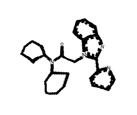 O=C(Cn1c(-c2ccccn2)nc2ccccc21)N(C1CCCCC1)C1CCCCC1